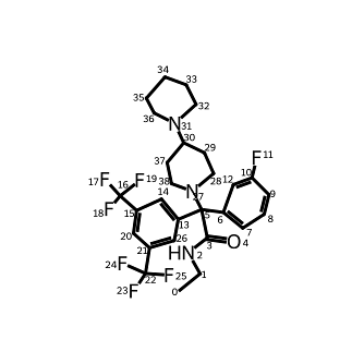 CCNC(=O)C(c1cccc(F)c1)(c1cc(C(F)(F)F)cc(C(F)(F)F)c1)N1CCC(N2CCCCC2)CC1